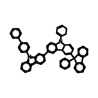 C1=CCCC(N2c3ccc(-c4ccc5c6ccccc6n(-c6ccc(-c7ccccc7)cc6)c5c4)cc3C3C=C(C4(c5ccccc5)c5ccccc5-c5ccccc54)C=CC32)=C1